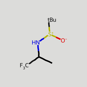 CC(N[S+]([O-])C(C)(C)C)C(F)(F)F